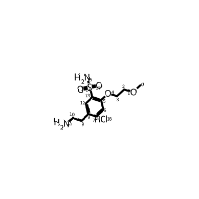 COCCOc1ccc(CCN)cc1S(N)(=O)=O.Cl